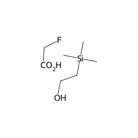 C[Si](C)(C)CCO.O=C(O)CF